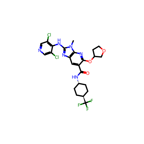 Cn1c(Nc2c(Cl)cncc2Cl)nc2cc(C(=O)N[C@H]3CC[C@H](C(F)(F)F)CC3)c(OC3CCOC3)nc21